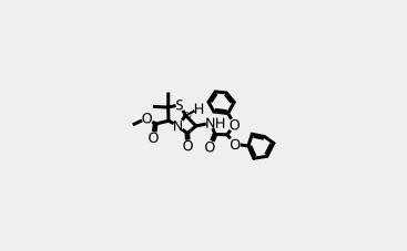 COC(=O)C1N2C(=O)C(NC(=O)C(Oc3ccccc3)Oc3ccccc3)[C@H]2SC1(C)C